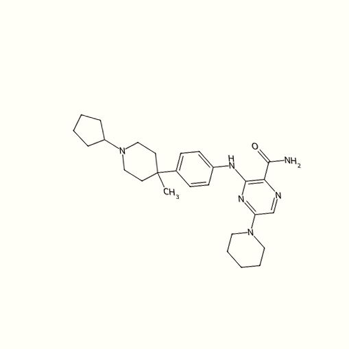 CC1(c2ccc(Nc3nc(N4CCCCC4)cnc3C(N)=O)cc2)CCN(C2CCCC2)CC1